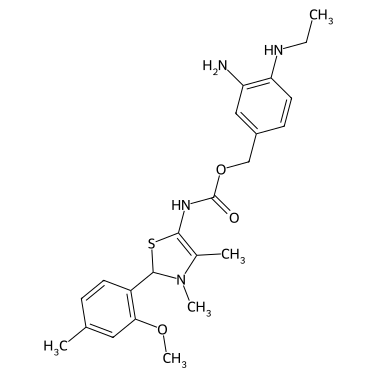 CCNc1ccc(COC(=O)NC2=C(C)N(C)C(c3ccc(C)cc3OC)S2)cc1N